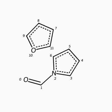 O=Cn1cccc1.c1ccoc1